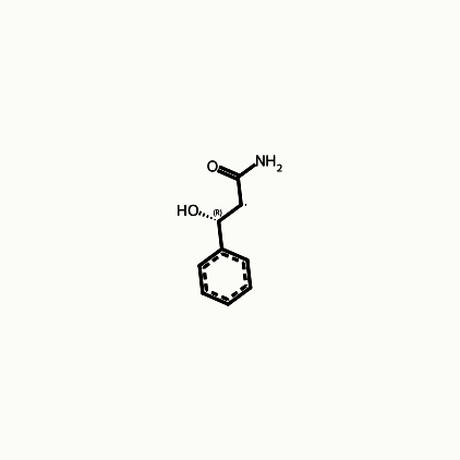 NC(=O)[CH][C@@H](O)c1ccccc1